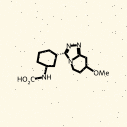 COC1CCn2c(nnc2[C@H]2CCCC(NC(=O)O)C2)C1